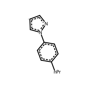 CCCc1ccc(-n2c[c]cn2)cc1